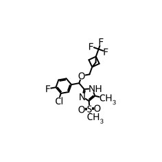 Cc1[nH]c(C(OCC23CC(C(F)(F)F)(C2)C3)c2ccc(F)c(Cl)c2)nc1S(C)(=O)=O